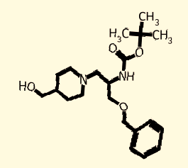 CC(C)(C)OC(=O)NC(COCc1ccccc1)CN1CCC(CO)CC1